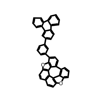 c1cc(-c2ccc3c4ccccc4c4ccccc4c3c2)cc(-c2ccc3c4c2oc2ccc5ccc6oc7cccc-3c7c6c5c24)c1